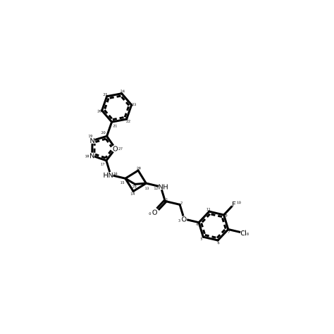 O=C(COc1ccc(Cl)c(F)c1)NC12CC(Nc3nnc(-c4ccccc4)o3)(C1)C2